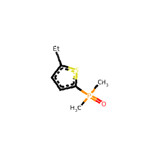 CCc1ccc(P(C)(C)=O)s1